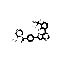 C[C@@H]1COCCN1C(=O)c1ccc(-c2cc3ncnc(-c4cccc(C(C)(C)O)c4F)c3o2)cc1